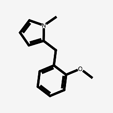 COc1ccccc1Cc1cccn1C